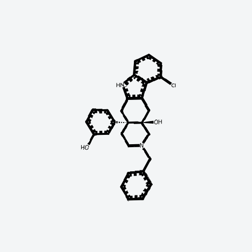 Oc1cccc([C@@]23CCN(Cc4ccccc4)C[C@@]2(O)Cc2c([nH]c4cccc(Cl)c24)C3)c1